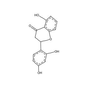 O=C1CC(c2ccc(O)cc2O)Oc2cccc(O)c21